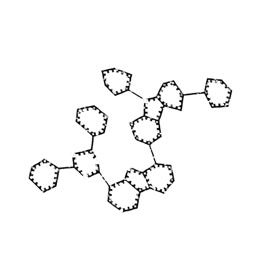 c1ccc(-c2ccc3c(c2)c2cc(-c4cccc5c4sc4c(-c6nc(-c7ccccc7)nc(-c7ccccc7)n6)cccc45)ccc2n3-c2ccccc2)cc1